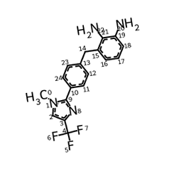 Cn1cc(C(F)(F)F)nc1-c1ccc(Cc2cccc(N)c2N)cc1